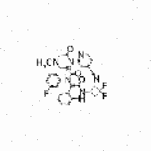 CN1CC(=O)N(c2cc(C#N)ccn2)[C@H](C(=O)N(c2cc(F)cc(F)c2)[C@H](C(=O)NC2CC(F)(F)C2)c2ccccc2I)C1